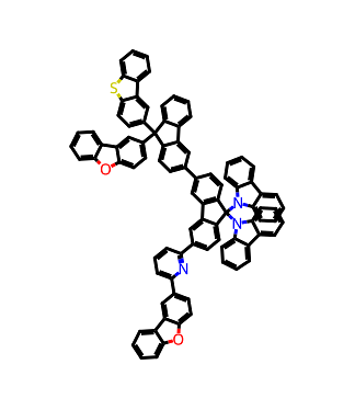 c1cc(-c2ccc3c(c2)-c2cc(-c4ccc5c(c4)-c4ccccc4C5(c4ccc5oc6ccccc6c5c4)c4ccc5sc6ccccc6c5c4)ccc2C3(n2c3ccccc3c3ccccc32)n2c3ccccc3c3ccccc32)nc(-c2ccc3oc4ccccc4c3c2)c1